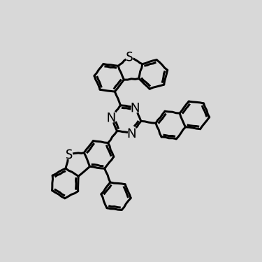 c1ccc(-c2cc(-c3nc(-c4ccc5ccccc5c4)nc(-c4cccc5sc6ccccc6c45)n3)cc3sc4ccccc4c23)cc1